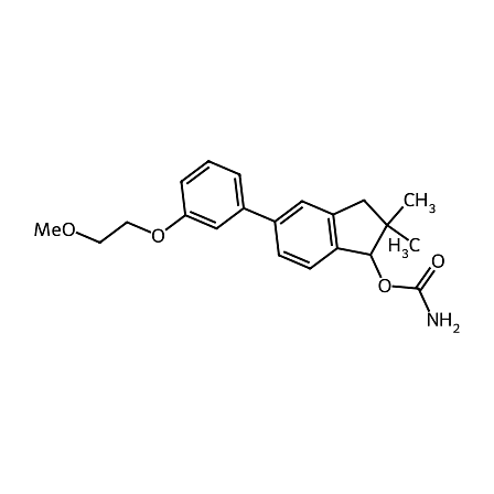 COCCOc1cccc(-c2ccc3c(c2)CC(C)(C)C3OC(N)=O)c1